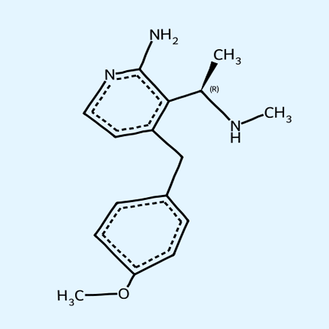 CN[C@H](C)c1c(Cc2ccc(OC)cc2)ccnc1N